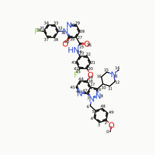 COc1ccc(Cn2nc(C3CCN(C)CC3)c3c(Oc4ccc(NC(=O)c5ccnn(-c6ccc(F)cc6)c5=O)cc4F)ccnc32)cc1